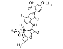 COc1ccc(N2Cc3c(F)ccc(Nc4c(N[C@@H](C5=CC=C(C)C5)C(C)(C)C)c(=O)c4=O)c3C2=O)c(C(=O)O)c1